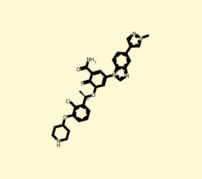 C[C@@H](OC1C=C(n2cnc3cc(-c4cnn(C)c4)ccc32)C=C(C(N)=O)C1=S)c1cccc(OC2CCNCC2)c1Cl